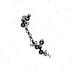 NC(=S)c1cccc(-c2cn(C3CCOCC3)c3cc(NC(=O)CCOCCOCCOCCOc4cccc5c4C(=O)N(C4CCC(=O)NC4=O)C5=O)ccc23)c1